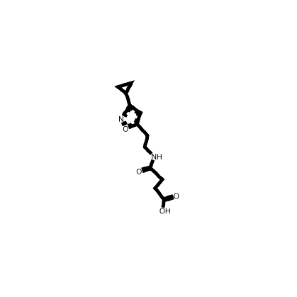 O=C(O)CCC(=O)NCCc1cc(C2CC2)no1